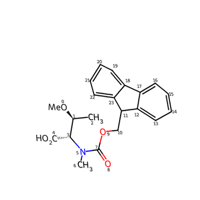 CO[C@@H](C)[C@@H](C(=O)O)N(C)C(=O)OCC1c2ccccc2-c2ccccc21